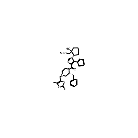 COC[C@]1(O)CCCC[C@H]1n1cnc(C(=O)N2CCN(Cc3oc(=O)oc3C)C[C@H]2Cc2ccccc2)c1-c1ccccc1